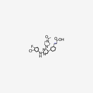 CC(=O)N1CCN(c2nc(Nc3ccc(F)c(Cl)c3)ncc2-c2cccc(/C=C/C(=O)O)c2)CC1